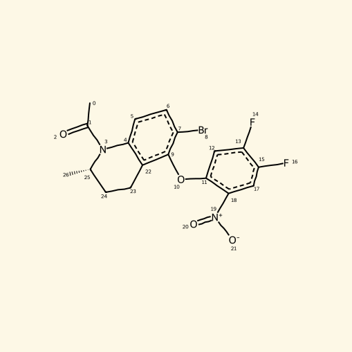 CC(=O)N1c2ccc(Br)c(Oc3cc(F)c(F)cc3[N+](=O)[O-])c2CC[C@@H]1C